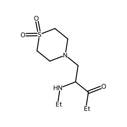 CCNC(CN1CCS(=O)(=O)CC1)C(=O)CC